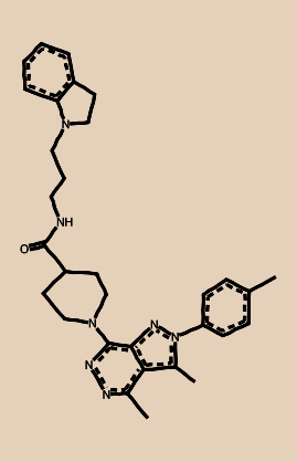 Cc1ccc(-n2nc3c(N4CCC(C(=O)NCCCN5CCc6ccccc65)CC4)nnc(C)c3c2C)cc1